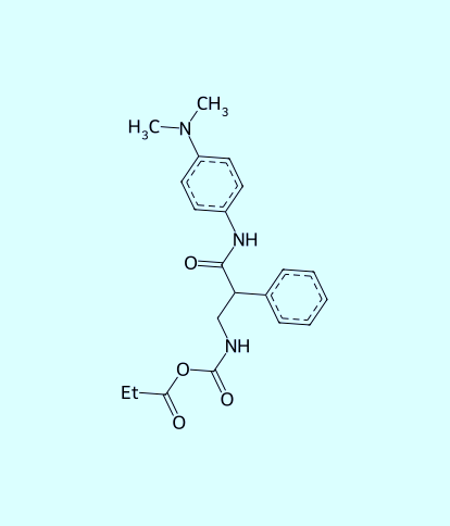 CCC(=O)OC(=O)NCC(C(=O)Nc1ccc(N(C)C)cc1)c1ccccc1